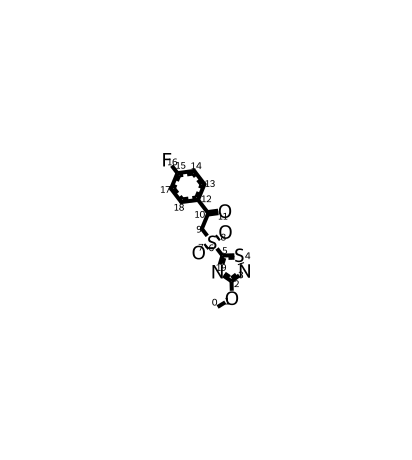 COc1nsc(S(=O)(=O)CC(=O)c2ccc(F)cc2)n1